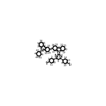 Ic1ccc(-c2cc(-c3ccc(I)cc3)nc(-n3c4ccccc4c4ccc(-c5ccc6c(c5)c5ccccc5n6-c5ccccc5)cc43)n2)cc1